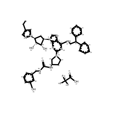 CCc1cnn([C@H]2C[C@@H](n3cnc4c(NCC(c5ccccc5)c5ccccc5)nc(N5CC[C@@H](NC(=O)NCc6cccc(O)c6)C5)nc43)[C@H](O)[C@@H]2O)c1.O=C(O)C(F)(F)F